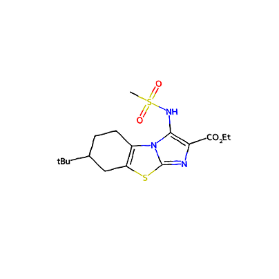 CCOC(=O)c1nc2sc3c(n2c1NS(C)(=O)=O)CCC(C(C)(C)C)C3